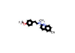 CN(CCc1ccc(OC(F)(F)F)cc1)c1ccc2cc(C#N)ccc2n1